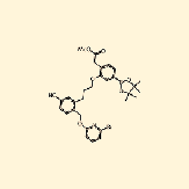 COC(=O)Cc1ccc(B2OC(C)(C)C(C)(C)O2)cc1OCCCc1cc(C#N)ccc1COc1cccc(Br)n1